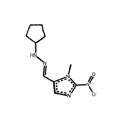 Cn1c(/C=N/NC2CCCC2)cnc1[N+](=O)[O-]